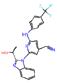 CC(O)c1nc2ccccc2n1-c1cc(C#N)cc(Nc2ccc(C(F)(F)F)cc2)n1